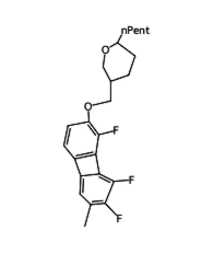 CCCCCC1CCC(COc2ccc3c(c2F)-c2c-3cc(C)c(F)c2F)CO1